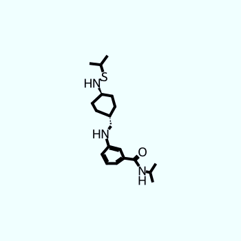 CC(C)NC(=O)c1cccc(NC[C@H]2CC[C@H](NSC(C)C)CC2)c1